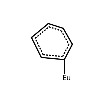 [Eu][c]1ccccc1